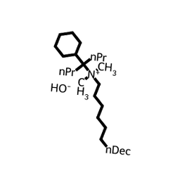 CCCCCCCCCCCCCCCC[N+](C)(C)C(CCC)(CCC)C1CCCCC1.[OH-]